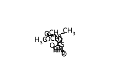 CCC[C@@H]1Cc2sc(NC=O)c(C(N)=O)c2CN1CC(C)(C)C(=O)OC